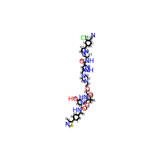 Cc1ncsc1-c1ccc(C(C)NC(=O)[C@@H]2C[C@@H](O)CN2C(=O)C(NC(=O)COCCN2CCN(Cc3cc(C(=O)NC(C)Cn4ccc(-c5ccc(C#N)c(Cl)c5)n4)n[nH]3)CC2)C(C)(C)C)cc1